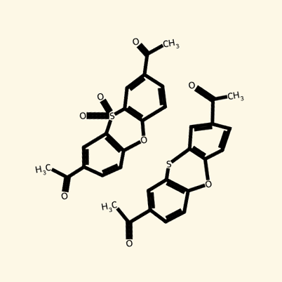 CC(=O)c1ccc2c(c1)S(=O)(=O)c1cc(C(C)=O)ccc1O2.CC(=O)c1ccc2c(c1)Sc1cc(C(C)=O)ccc1O2